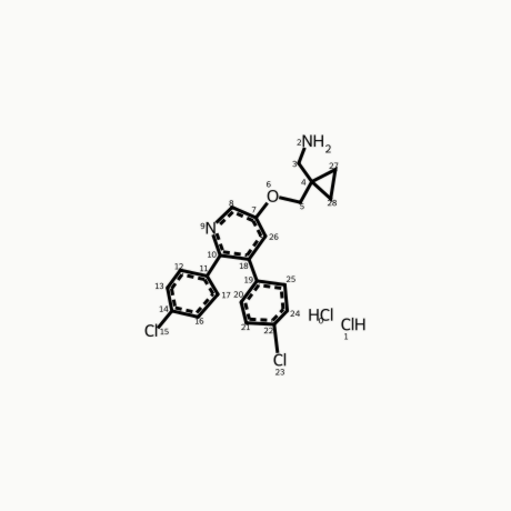 Cl.Cl.NCC1(COc2cnc(-c3ccc(Cl)cc3)c(-c3ccc(Cl)cc3)c2)CC1